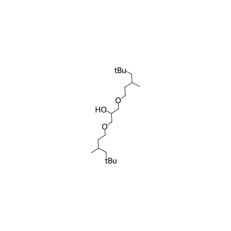 CC(CCOCC(O)COCCC(C)CC(C)(C)C)CC(C)(C)C